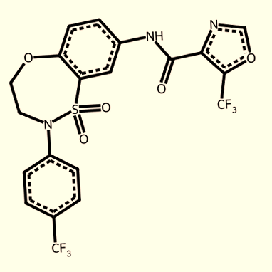 O=C(Nc1ccc2c(c1)S(=O)(=O)N(c1ccc(C(F)(F)F)cc1)CCO2)c1ncoc1C(F)(F)F